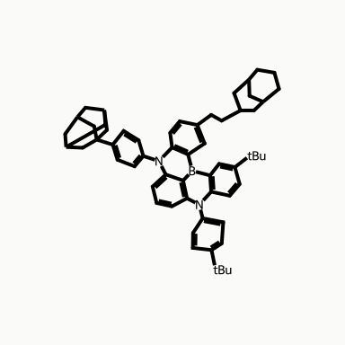 CC(C)(C)c1ccc(N2c3ccc(C(C)(C)C)cc3B3c4cc(CCC5CC6CCCC(C6)C5)ccc4N(c4ccc(C56CC7CC(CC(C7)C5)C6)cc4)c4cccc2c43)cc1